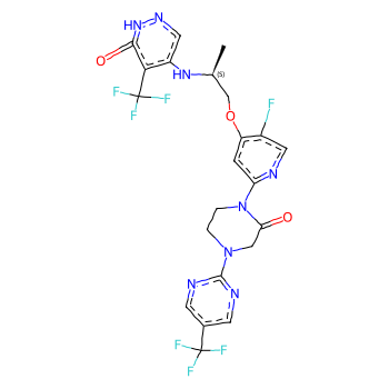 C[C@@H](COc1cc(N2CCN(c3ncc(C(F)(F)F)cn3)CC2=O)ncc1F)Nc1cn[nH]c(=O)c1C(F)(F)F